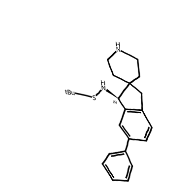 CC(C)(C)SN[C@@H]1c2cc(-c3ccccc3)ccc2CC12CCNCC2